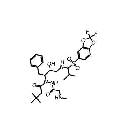 CNCC(=O)NN(C(=O)CC(C)(C)C)[C@@H](Cc1ccccc1)[C@H](O)CNC(C(C)C)S(=O)(=O)c1ccc2c(c1)OC(F)(F)O2